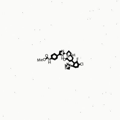 COC(=O)Nc1ccc(-c2cnc([C@@H]3CC[C@H]4CC(c5c(-n6cnnn6)ccc(Cl)c5F)=CC(=O)N43)[nH]2)cc1